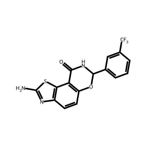 Nc1nc2ccc3c(c2s1)C(=O)NC(c1cccc(C(F)(F)F)c1)O3